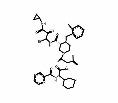 C=C(C)[C@H](NC(=O)[C@@H](NC(=O)c1cnccn1)C1CCCCC1)C(=O)N1CCN(Cc2ccccc2C)[C@@H](C(=O)NC(CC)C(=O)C(=O)NC2CC2)C1